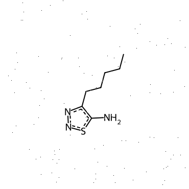 CCCCCc1nnsc1N